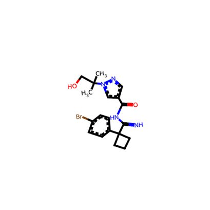 CC(C)(CO)n1cc(C(=O)NC(=N)C2(c3ccc(Br)cc3)CCC2)cn1